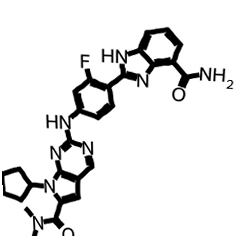 CN(C)C(=O)c1cc2cnc(Nc3ccc(-c4nc5c(C(N)=O)cccc5[nH]4)c(F)c3)nc2n1C1CCCC1